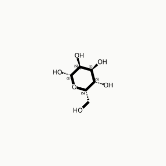 OC[C@@H]1O[C@H](O)[C@@H](O)[C@@H](O)[C@@H]1O